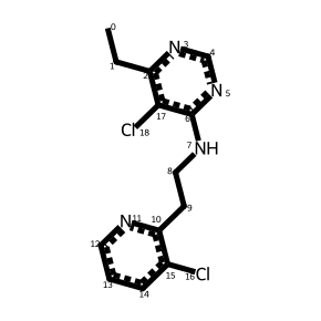 CCc1ncnc(NCCc2ncccc2Cl)c1Cl